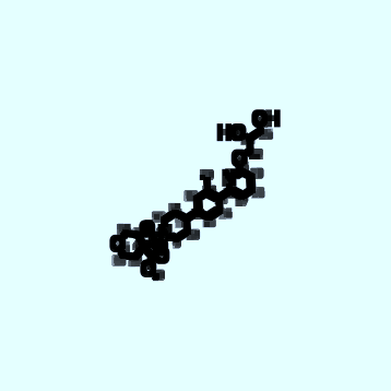 COC(=O)C1(S(=O)(=O)N2CCC(c3ccc(-c4cccc(OC[C@H](O)CO)n4)c(C)c3)CC2)CCOCC1